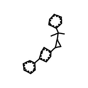 CC(C)([C]1CC1c1ccc(-c2ccccc2)cc1)c1ccccc1